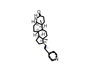 C[C@]12CCC(=O)N[C@@H]1CC[C@@H]1[C@@H]2CC[C@]2(C)[C@@H](/C=C/c3ccncc3)CC[C@@H]12